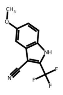 COc1ccc2[nH]c(C(F)(F)F)c(C#N)c2c1